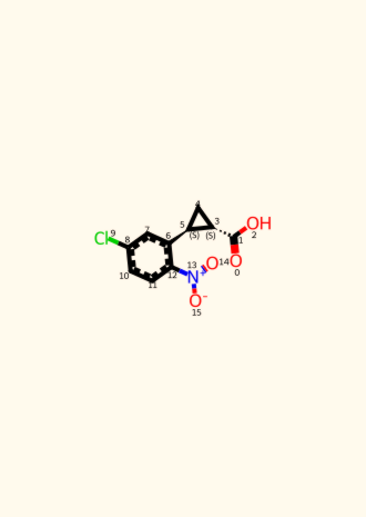 O=C(O)[C@H]1C[C@@H]1c1cc(Cl)ccc1[N+](=O)[O-]